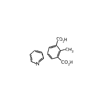 Cc1c(C(=O)O)cccc1C(=O)O.c1ccncc1